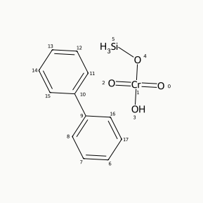 [O]=[Cr](=[O])([OH])[O][SiH3].c1ccc(-c2ccccc2)cc1